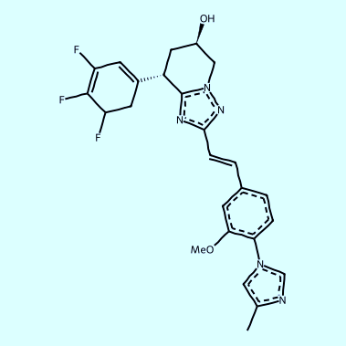 COc1cc(/C=C/c2nc3n(n2)C[C@H](O)C[C@H]3C2=CC(F)=C(F)C(F)C2)ccc1-n1cnc(C)c1